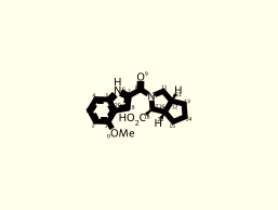 COc1cccc2[nH]c(C(=O)N3C[C@@H]4CCC[C@@H]4[C@H]3C(=O)O)cc12